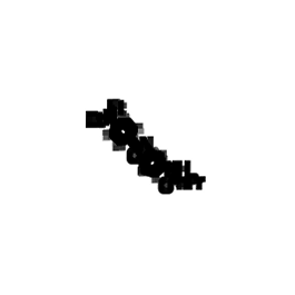 CCCC(=O)Nc1ccc2oc(-c3ccc(N(CC)CC)cc3)nc2c1